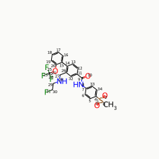 CS(=O)(=O)c1ccc(NC(=O)c2ccc(-c3ccccc3OC(F)(F)F)c(CNCCF)c2)cc1